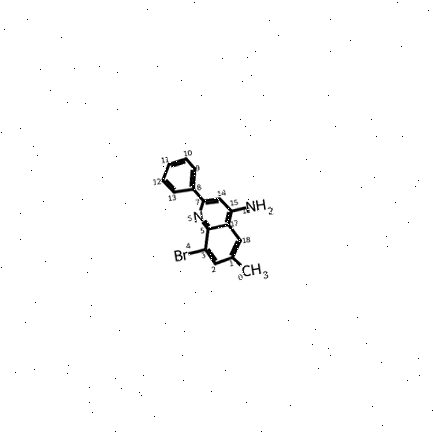 Cc1cc(Br)c2nc(-c3ccccc3)cc(N)c2c1